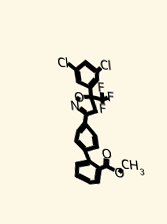 COC(=O)c1ccccc1-c1ccc(C2=NOC(c3cc(Cl)cc(Cl)c3)(C(F)(F)F)C2)cc1